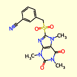 Cn1c(=O)c2c(nc(S(=O)(=O)Cc3cccc(C#N)c3)n2C)n(C)c1=O